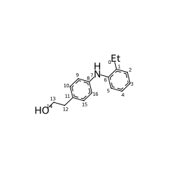 CCc1ccccc1Nc1ccc(CCO)cc1